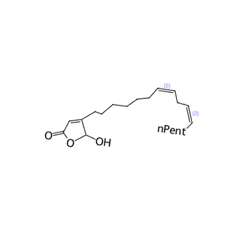 CCCCC/C=C\C/C=C\CCCCCCC1=CC(=O)OC1O